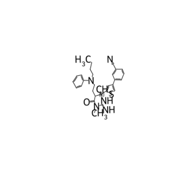 CCCCN(CCC1C(=O)N(C)C(=N)N[C@@]1(C)c1cc(-c2cccc(C#N)c2)cs1)c1ccccc1